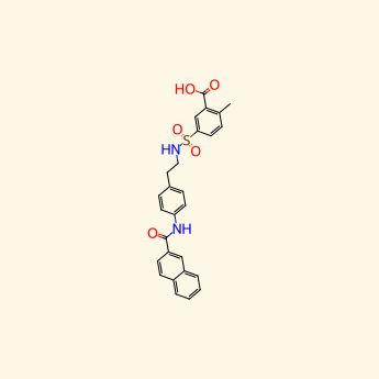 Cc1ccc(S(=O)(=O)NCCc2ccc(NC(=O)c3ccc4ccccc4c3)cc2)cc1C(=O)O